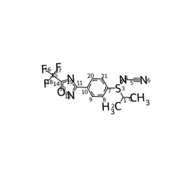 CC(C)S(=NC#N)c1ccc(-c2noc(C(F)(F)F)n2)cc1